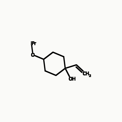 C=CC1(O)CCC(OC(C)C)CC1